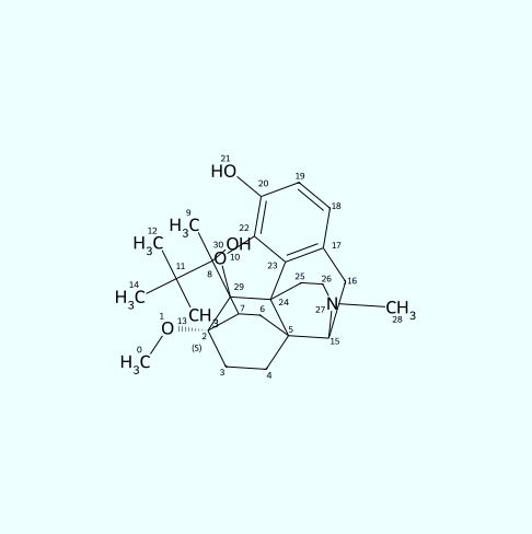 CO[C@@]12CCC3(CC1C(C)(O)C(C)(C)C)C1Cc4ccc(O)c5c4C3(CCN1C)C2O5